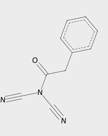 N#CN(C#N)C(=O)Cc1ccccc1